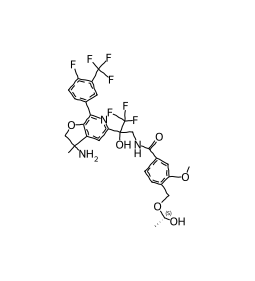 COc1cc(C(=O)NCC(O)(c2cc3c(c(-c4ccc(F)c(C(F)(F)F)c4)n2)OCC3(C)N)C(F)(F)F)ccc1CO[C@@H](C)O